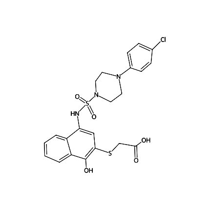 O=C(O)CSc1cc(NS(=O)(=O)N2CCN(c3ccc(Cl)cc3)CC2)c2ccccc2c1O